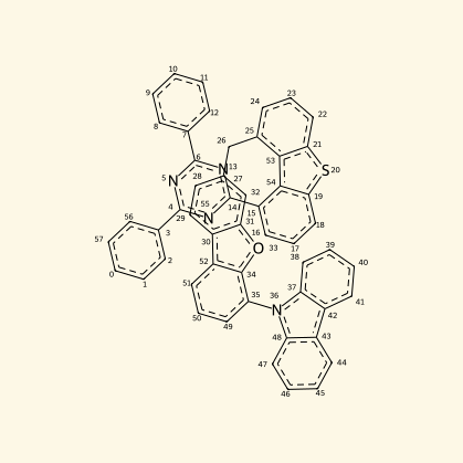 c1ccc(-c2nc(-c3ccccc3)nc(-c3cccc4sc5cccc(Cc6ccc7c(c6)oc6c(-n8c9ccccc9c9ccccc98)cccc67)c5c34)n2)cc1